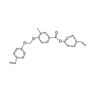 C=Cc1ccc(OCOc2ccc(C(=O)Oc3ccc(C=C)cc3)cc2C)cc1